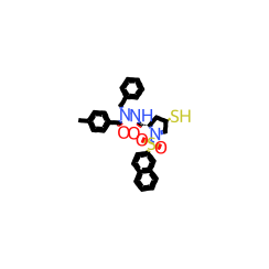 Cc1ccc(C(=O)N(Cc2ccccc2)NC(=O)[C@@H]2C[C@@H](S)CN2S(=O)(=O)c2ccc3ccccc3c2)cc1